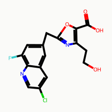 O=C(O)c1oc(Cc2cc(F)c3ncc(Cl)cc3c2)nc1CCO